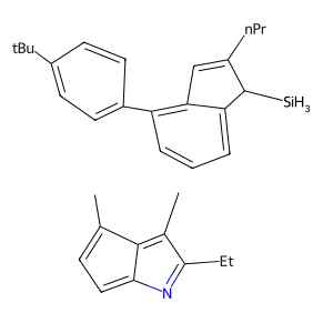 CCC1=NC2=CC=C(C)C2=C1C.CCCC1=Cc2c(-c3ccc(C(C)(C)C)cc3)cccc2C1[SiH3]